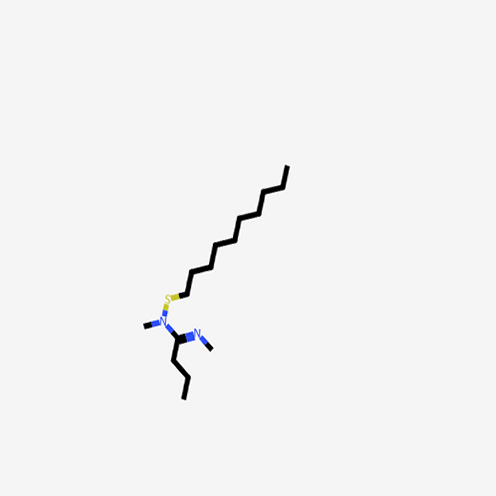 CCCCCCCCCCSN(C)C(CCC)=NC